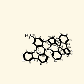 Cc1cc2c3c(c1)-n1c4ccccc4c4cccc(c41)B3N1c3ccccc3[Si]3(c4ccccc4-c4ccccc43)c3cccc-2c31